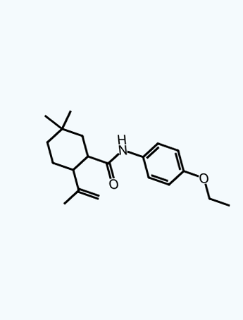 C=C(C)C1CCC(C)(C)CC1C(=O)Nc1ccc(OCC)cc1